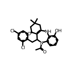 CC(=O)N1c2cccc(O)c2NC2=C(C(=O)CC(C)(C)C2)C1Cc1ccc(Cl)cc1Cl